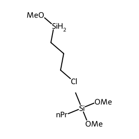 CCC[Si](C)(OC)OC.CO[SiH2]CCCCl